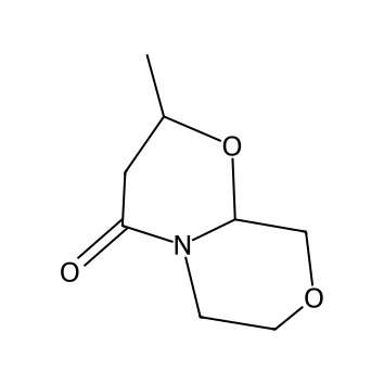 CC1CC(=O)N2CCOCC2O1